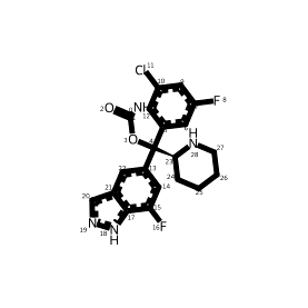 NC(=O)OC(c1cc(F)cc(Cl)c1)(c1cc(F)c2[nH]ncc2c1)[C@@H]1CCCCN1